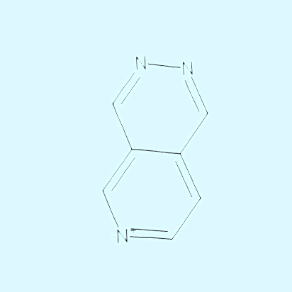 C1=[N+]C=c2cnncc2=C1